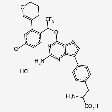 Cl.Nc1nc(OC(c2ccc(Cl)cc2C2=COCCC2)C(F)(F)F)c2scc(-c3ccc(CC(N)C(=O)O)cc3)c2n1